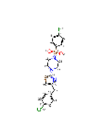 O=S(=O)(c1ccc(F)cc1)N1CCN(c2nc(Cc3ccc(Cl)cc3)cs2)CC1